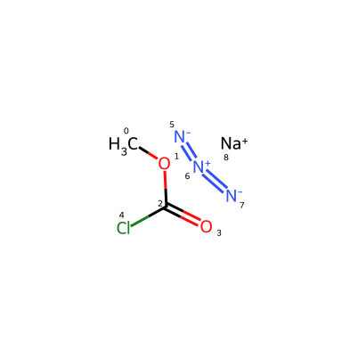 COC(=O)Cl.[N-]=[N+]=[N-].[Na+]